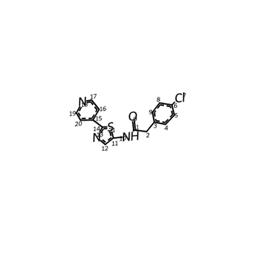 O=C(Cc1ccc(Cl)cc1)Nc1cnc(-c2ccncc2)s1